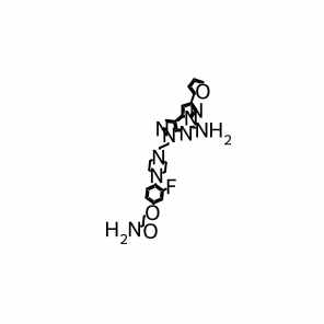 NC(=O)COc1ccc(N2CCN(CCn3ncc4c3nc(N)n3nc(-c5ccco5)cc43)CC2)c(F)c1